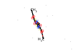 CCCCCCCCOC(=O)CCc1cc2c(nc3c4ccc5c(=O)n6c7cc(CCC(=O)OCCCCCCCC)sc7nc6c6sc(c(=O)n23)c4c56)s1